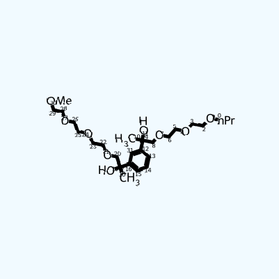 CCCOCCOCCOCC(C)(O)c1cccc(C(C)(O)COCCOCCOCCOC)c1